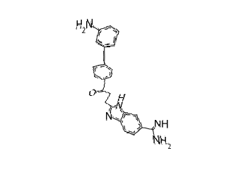 N=C(N)c1ccc2nc(CCC(=O)c3ccc(-c4cccc(N)c4)cc3)[nH]c2c1